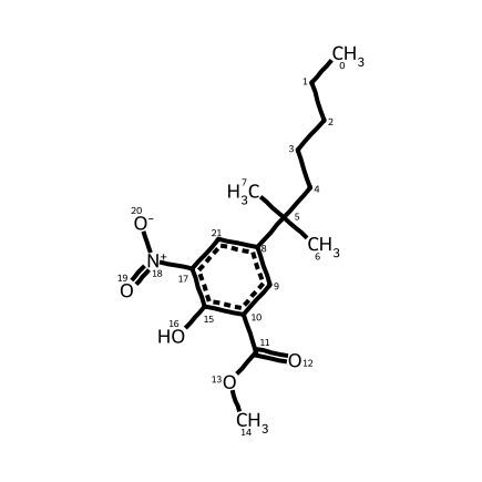 CCCCCC(C)(C)c1cc(C(=O)OC)c(O)c([N+](=O)[O-])c1